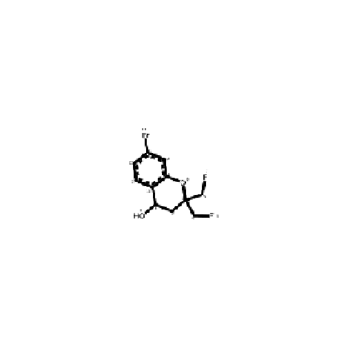 OC1CC(CF)(CF)Oc2cc(Br)ccc21